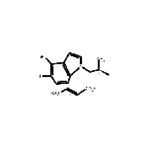 CC(C)c1c(F)ccc2c1ccn2C[C@H](C)N.O=C(O)/C=C/C(=O)O